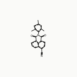 Cc1cc(C)c(N2C(=O)c3cccc4c(C#N)ccc(c34)C2=O)c(C)c1